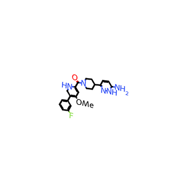 COC1=C(c2cccc(F)c2)CNC(C(=O)N2CCC(C3=NNC(N)C=C3)CC2)=C1